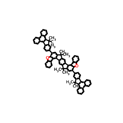 CC1(C)c2cc3c(cc2-c2c1cc(-c1ccc4c(c1)C(C)(C)c1c-4c4ccccc4c4ccccc14)c1oc4ccccc4c21)C(C)(C)c1cc(-c2ccc4c(c2)C(C)(C)c2c-4c4ccccc4c4ccccc24)c2oc4ccccc4c2c1-3